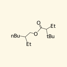 CCCCC(CC)COC(=O)C(CC)C(C)(C)C